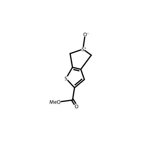 COC(=O)c1cc2c(s1)C[S+]([O-])C2